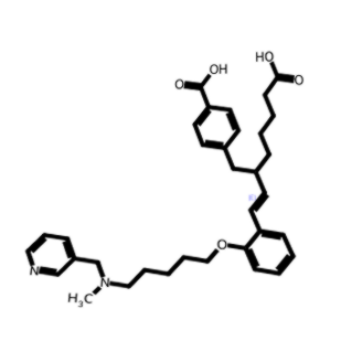 CN(CCCCCOc1ccccc1/C=C/C(CCCCC(=O)O)Cc1ccc(C(=O)O)cc1)Cc1cccnc1